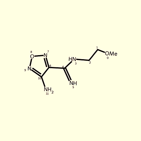 COCCNC(=N)c1nonc1N